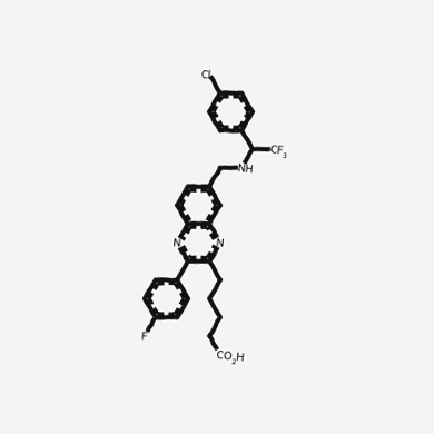 O=C(O)CCCCc1nc2cc(CNC(c3ccc(Cl)cc3)C(F)(F)F)ccc2nc1-c1ccc(F)cc1